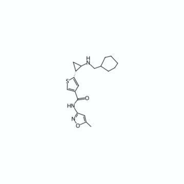 Cc1cc(NC(=O)c2csc([C@@H]3CC3NCC3CCCCC3)c2)no1